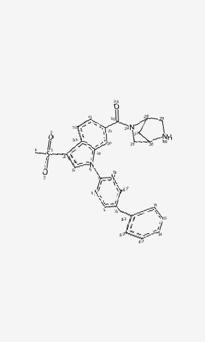 CS(=O)(=O)c1cn(-c2ncc(-c3ccccc3)cn2)c2cc(C(=O)N3CC4CC3CN4)ccc12